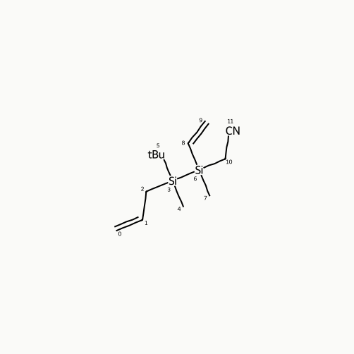 C=CC[Si](C)(C(C)(C)C)[Si](C)(C=C)CC#N